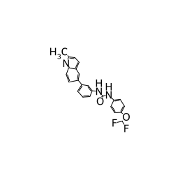 Cc1ccc2cc(-c3cccc(NC(=O)Nc4ccc(OC(F)F)cc4)c3)ccc2n1